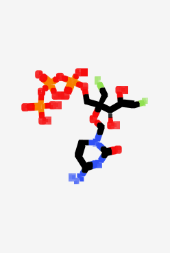 Nc1ccn(CO[C@](CF)(COP(=O)(O)OP(=O)(O)OP(=O)(O)O)[C@@H](O)/C(O)=C/F)c(=O)n1